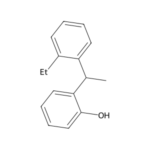 CCc1ccccc1C(C)c1ccccc1O